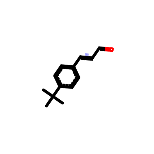 CC(C)(C)c1ccc(/C=C/C=O)cc1